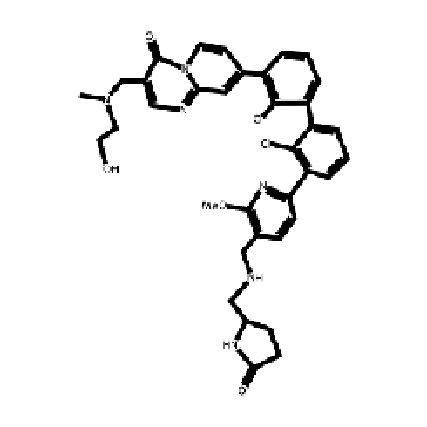 COc1nc(-c2cccc(-c3cccc(-c4ccn5c(=O)c(CN(C)CCO)cnc5c4)c3Cl)c2Cl)ccc1CNCC1CCC(=O)N1